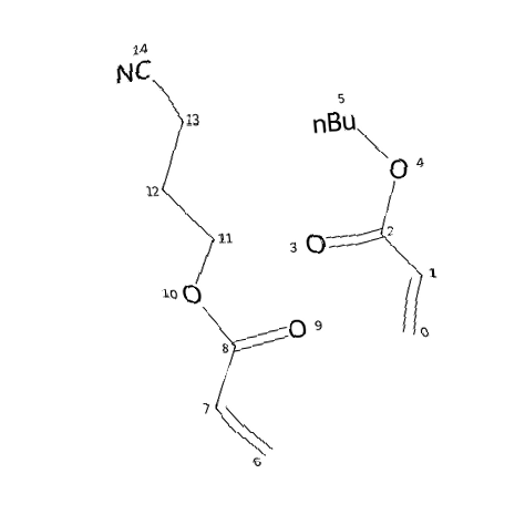 C=CC(=O)OCCCC.C=CC(=O)OCCCC#N